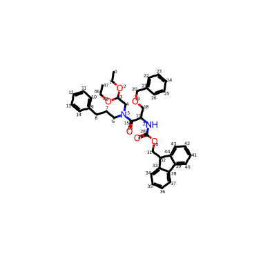 CCOC(CN(CCCc1ccccc1)C(=O)C(COCc1ccccc1)NC(=O)OCC1c2ccccc2-c2ccccc21)OCC